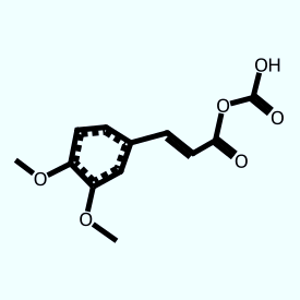 COc1ccc(C=CC(=O)OC(=O)O)cc1OC